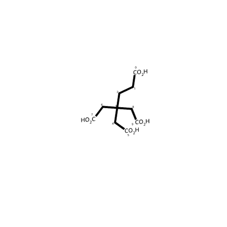 O=C(O)CCC(CC(=O)O)(CC(=O)O)CC(=O)O